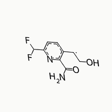 NC(=O)c1nc(C(F)F)ccc1[CH]CO